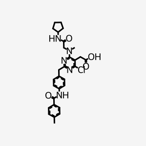 Cc1ccc(C(=O)Nc2ccc(Cc3nc(Cl)c(CC(=O)O)c(N(C)CC(=O)NC4CCCC4)n3)cc2)cc1